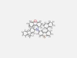 C[Si]1(C)c2ccccc2-c2ccc(N(c3ccc4sc5cccc(-c6cccc7ccccc67)c5c4c3)c3cccc4oc5ccccc5c34)cc21